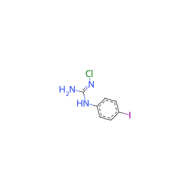 NC(=NCl)Nc1ccc(I)cc1